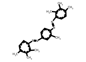 Cc1cc(N=Nc2ccc(C)c(C)c2C)ccc1N=Nc1ccc(C)c(C)c1C